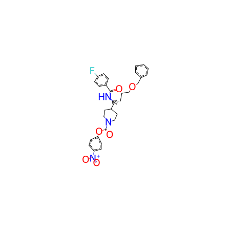 O=C(N[C@H](CCCOCc1ccccc1)C1CCN(C(=O)Oc2ccc([N+](=O)[O-])cc2)CC1)c1ccc(F)cc1